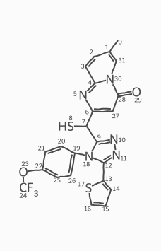 Cc1ccc2nc(C(S)c3nnc(-c4cccs4)n3-c3ccc(OC(F)(F)F)cc3)cc(=O)n2c1